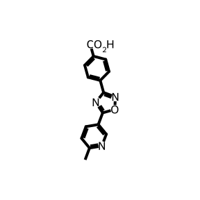 Cc1ccc(-c2nc(-c3ccc(C(=O)O)cc3)no2)cn1